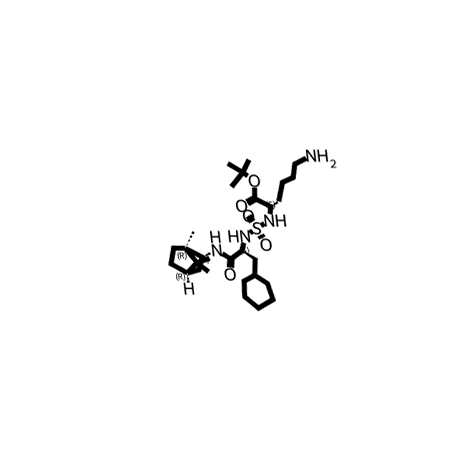 CC(C)(C)OC(=O)[C@H](CCCCN)NS(=O)(=O)N[C@@H](CC1CCCCC1)C(=O)N[C@@H]1C[C@H]2CC[C@]1(C)C2(C)C